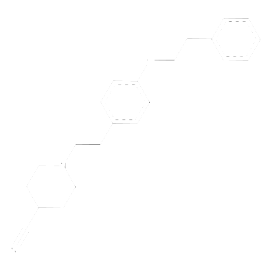 N#CC1CCN(CCc2ccc(OCCc3ccccc3)cc2)CC1